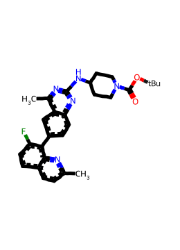 Cc1ccc2ccc(F)c(-c3ccc4nc(NC5CCN(C(=O)OC(C)(C)C)CC5)nc(C)c4c3)c2n1